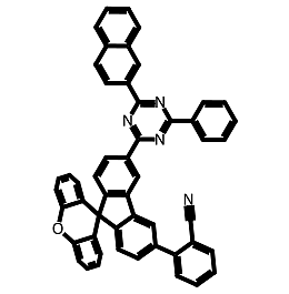 N#Cc1ccccc1-c1ccc2c(c1)-c1cc(-c3nc(-c4ccccc4)nc(-c4ccc5ccccc5c4)n3)ccc1C21c2ccccc2Oc2ccccc21